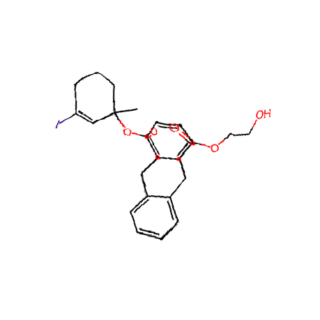 CC1(OC(=O)C2C3c4ccccc4C(c4ccccc43)C2C(=O)OCCO)C=C(I)CCC1